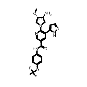 CO[C@H]1CN(c2ncc(C(=O)Nc3ccc(OC(F)(F)F)cc3)cc2-c2ccn[nH]2)C[C@@H]1N